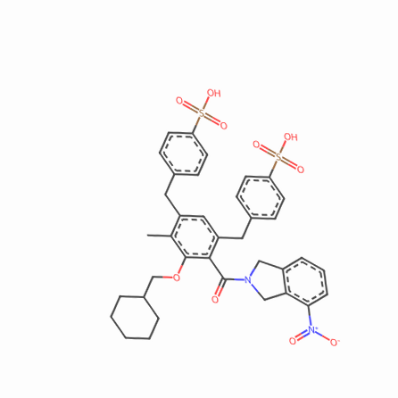 Cc1c(Cc2ccc(S(=O)(=O)O)cc2)cc(Cc2ccc(S(=O)(=O)O)cc2)c(C(=O)N2Cc3cccc([N+](=O)[O-])c3C2)c1OCC1CCCCC1